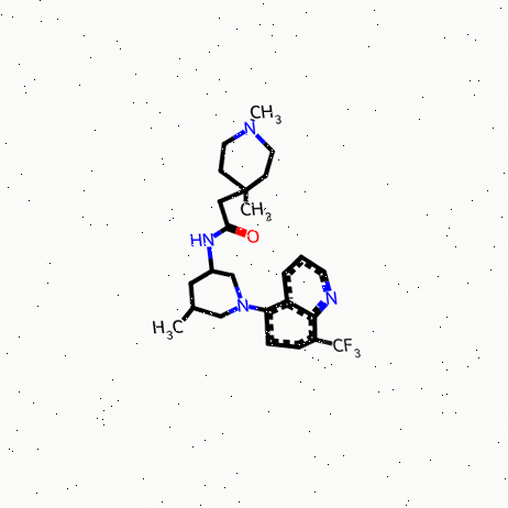 CC1CC(NC(=O)CC2(C)CCN(C)CC2)CN(c2ccc(C(F)(F)F)c3ncccc23)C1